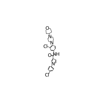 O=C(Nc1ccc(N2CCN(C3CCOCC3)CC2)c(Cl)c1)c1ccn(-c2ccc(Cl)cc2)c1